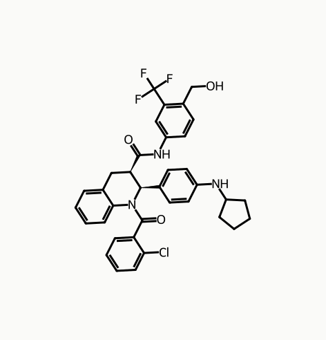 O=C(Nc1ccc(CO)c(C(F)(F)F)c1)[C@@H]1Cc2ccccc2N(C(=O)c2ccccc2Cl)[C@@H]1c1ccc(NC2CCCC2)cc1